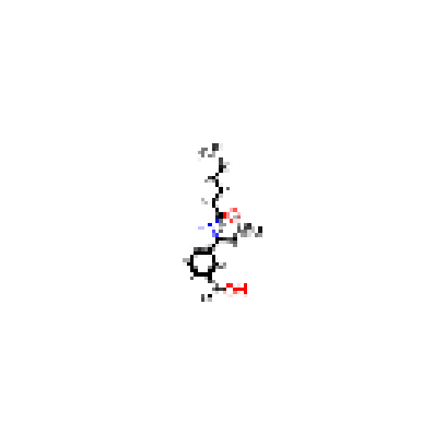 CB(O)c1cccc(C(CC(C)(C)C)NC(=O)CCCCC(C)(C)C)c1